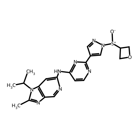 Cc1nc2cnc(Nc3ccnc(-c4cnn([S+]([O-])C5COC5)c4)n3)cc2n1C(C)C